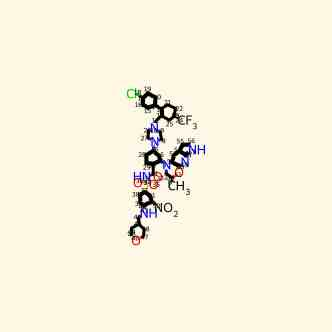 C[C@@H]1CN(c2cc(N3CCN(CC4=C(c5ccc(Cl)cc5)CC[C@@H](C(F)(F)F)C4)CC3)ccc2C(=O)NS(=O)(=O)c2ccc(NCC3CCOCC3)c([N+](=O)[O-])c2)c2cc3cc[nH]c3nc2O1